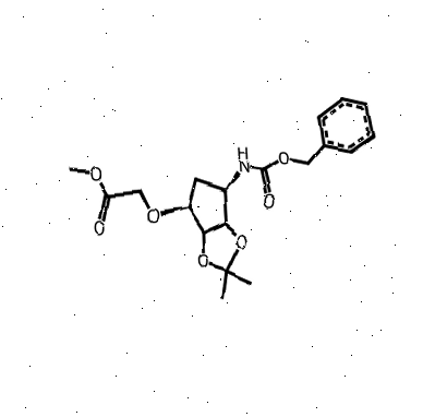 COC(=O)CO[C@H]1C[C@@H](NC(=O)OCc2ccccc2)C2OC(C)(C)OC21